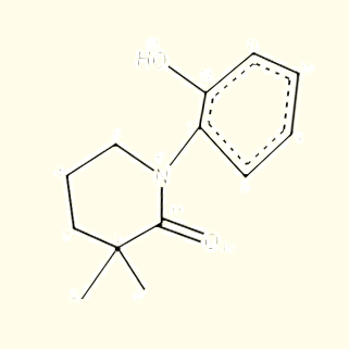 CC1(C)CCCN(c2ccccc2O)C1=O